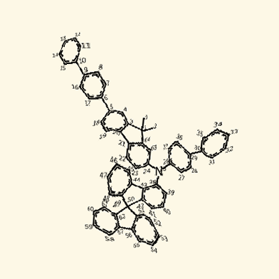 CC1(C)c2cc(-c3ccc(-c4ccccc4)cc3)ccc2-c2ccc(N(c3ccc(-c4ccccc4)cc3)c3cccc4c3-c3ccccc3C43c4ccccc4-c4ccccc43)cc21